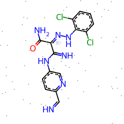 N=Cc1ccc(NC(=N)/C(=N\Nc2c(Cl)cccc2Cl)C(N)=O)cn1